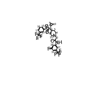 O=C(CN1CCC(N(C2CC2)S(=O)(=O)c2cccc(C(F)(F)F)c2)CC1)Nc1cc(F)cc(C(F)(F)F)c1